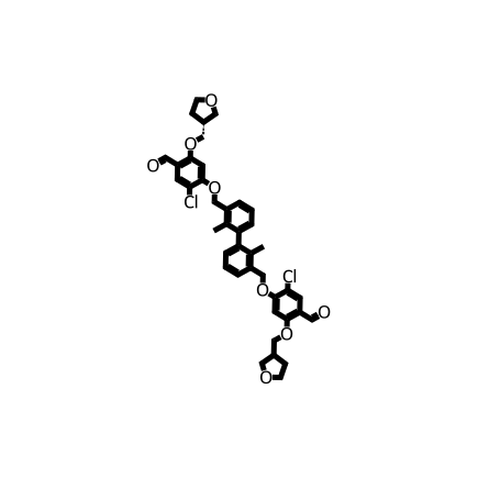 Cc1c(COc2cc(OCC3CCOC3)c(C=O)cc2Cl)cccc1-c1cccc(COc2cc(OC[C@@H]3CCOC3)c(C=O)cc2Cl)c1C